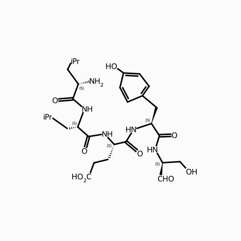 CC(C)C[C@H](NC(=O)[C@@H](N)CC(C)C)C(=O)N[C@@H](CCC(=O)O)C(=O)N[C@@H](Cc1ccc(O)cc1)C(=O)N[C@H](C=O)CO